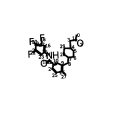 CC(=O)CC1CCC(Cc2cc(C(=O)Nc3cc(F)c(F)c(F)c3)ccc2C)CC1